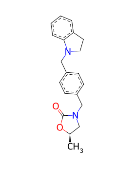 C[C@@H]1CN(Cc2ccc(CN3CCc4ccccc43)cc2)C(=O)O1